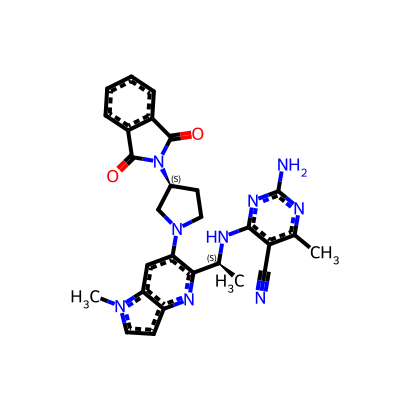 Cc1nc(N)nc(N[C@@H](C)c2nc3ccn(C)c3cc2N2CC[C@H](N3C(=O)c4ccccc4C3=O)C2)c1C#N